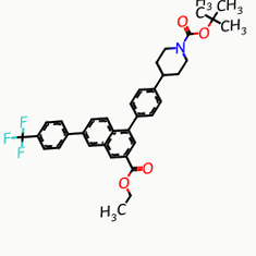 CCOC(=O)c1cc(-c2ccc(C3CCN(C(=O)OC(C)(C)C)CC3)cc2)c2ccc(-c3ccc(C(F)(F)F)cc3)cc2c1